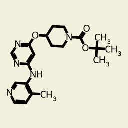 Cc1ccncc1Nc1cc(OC2CCN(C(=O)OC(C)(C)C)CC2)ncn1